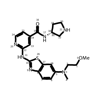 COCCN(C)c1ccc2nc(Nc3cc(C(=O)N[C@@H]4CCNC4)ccn3)sc2c1